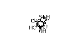 Cl.Oc1cc2c(c(Cl)c1O)CNC2